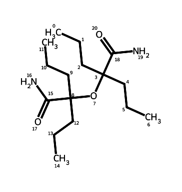 CCCC(CCC)(OC(CCC)(CCC)C(N)=O)C(N)=O